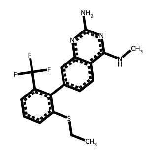 CCSc1cccc(C(F)(F)F)c1-c1ccc2c(NC)nc(N)nc2c1